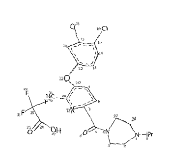 CC(C)N1CCN(C(=O)c2ccc(Oc3ccc(Cl)c(Cl)c3)c(C#N)n2)CC1.O=C(O)C(F)(F)F